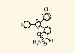 CCC(c1cccc(-c2nc(-c3ccncc3)sc2-c2ccnc(Cl)n2)c1Cl)S(N)(=O)=O